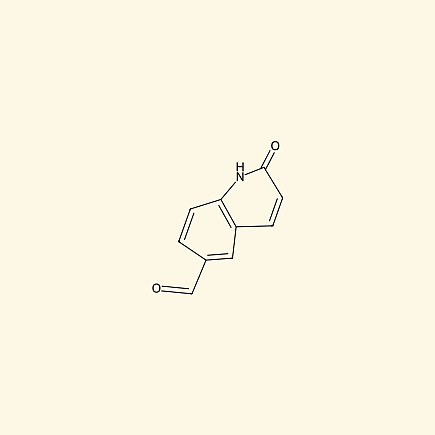 O=Cc1ccc2[nH]c(=O)ccc2c1